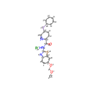 CCOCOc1ccc2nc(NC(=O)c3ccc([I+]c4ccccc4)cn3)sc2c1.[Br-]